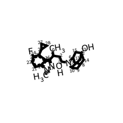 CC(CC(O)N1C2CC3CC1CC(O)(C3)C2)c1nn(C)c2ccc(F)c(C3CC3)c12